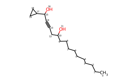 CCCCCCCCCCC(O)CC#CC(O)C1CC1